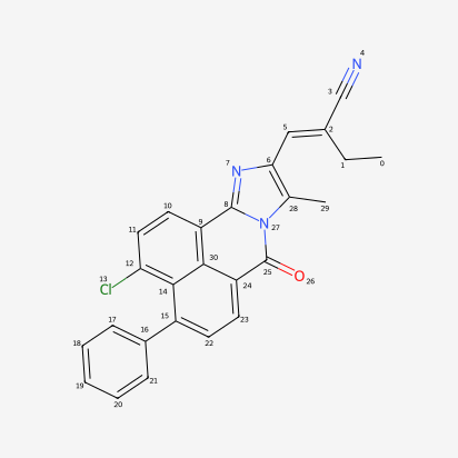 CC/C(C#N)=C\c1nc2c3ccc(Cl)c4c(-c5ccccc5)ccc(c(=O)n2c1C)c43